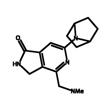 CNCc1nc(N2C3CCC2CC3)cc2c1CNC2=O